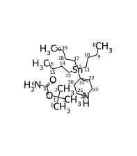 CC(C)(C)OC(N)=O.CCC[CH2][Sn]([CH2]CCC)([CH2]CCC)[C]1=CCNCC1